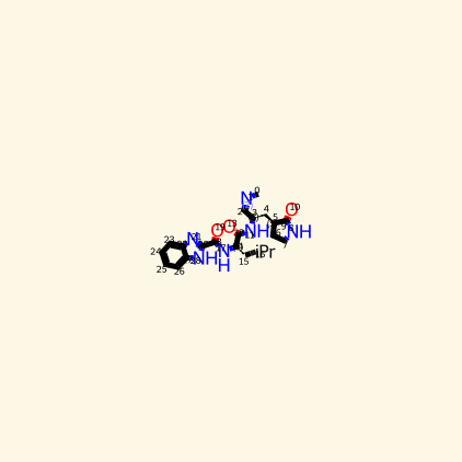 C/N=C\[C@H](C[C@@H]1CCNC1=O)NC(=O)[C@H](CC(C)C)NC(=O)c1nc2ccccc2[nH]1